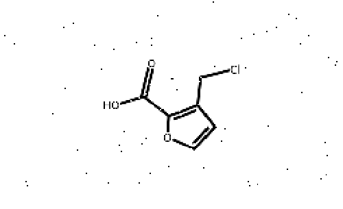 O=C(O)c1occc1CCl